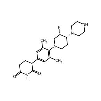 Cc1cc(C2CCC(=O)NC2=O)nc(C)c1N1CC[C@@H](N2CCNCC2)[C@@H](F)C1